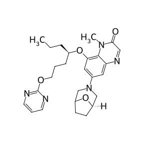 CCC[C@H](CCCOc1ncccn1)Oc1cc(N2CC3CC[C@H](C2)O3)cc2ncc(=O)n(C)c12